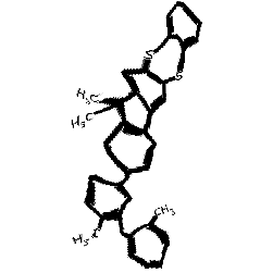 Cc1ccccc1-c1cc(-c2ccc3c(c2)C(C)(C)c2cc4c(cc2-3)Sc2ccccc2S4)ccc1C